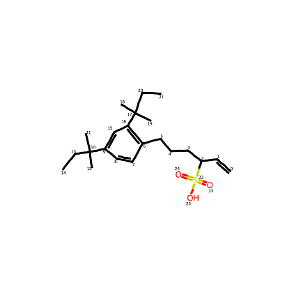 C=CC(CCCc1ccc(C(C)(C)CC)cc1C(C)(C)CC)S(=O)(=O)O